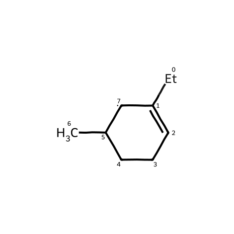 CCC1=CCCC(C)[CH]1